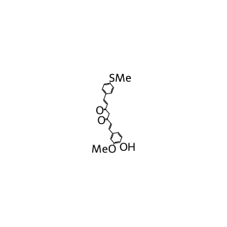 COc1cc(/C=C/C(=O)CC(=O)/C=C/c2ccc(SC)cc2)ccc1O